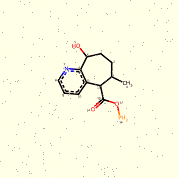 CC1CCC(O)c2ncccc2C1C(=O)OP